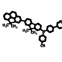 CC1(C)c2cc(-c3cc4c5c(ccc6cccc(c65)C4(C)C)c3)ccc2-c2ccc(N(c3ccc(C#N)cc3)c3ccc(-c4cccnc4)cc3)cc21